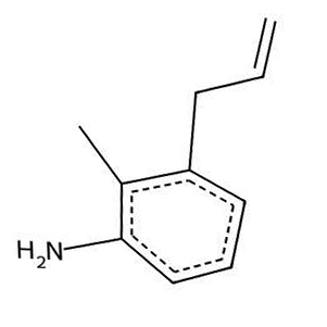 C=CCc1cccc(N)c1C